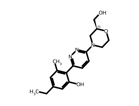 CCc1cc(C)c(-c2ccc(N3CCO[C@H](CO)C3)nn2)c(O)c1